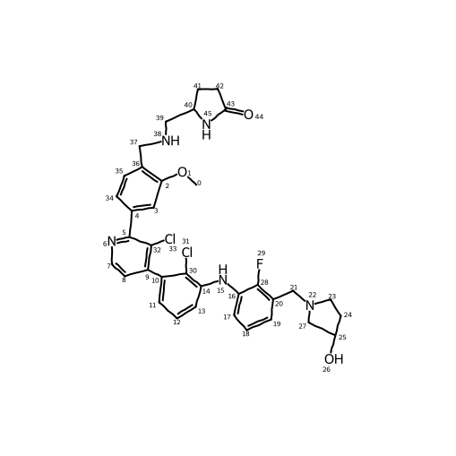 COc1cc(-c2nccc(-c3cccc(Nc4cccc(CN5CCC(O)C5)c4F)c3Cl)c2Cl)ccc1CNCC1CCC(=O)N1